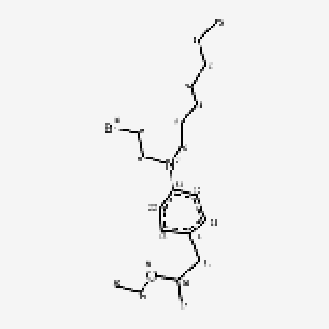 CCCCCCCN(CCBr)c1ccc(CC(C)OCC)cc1